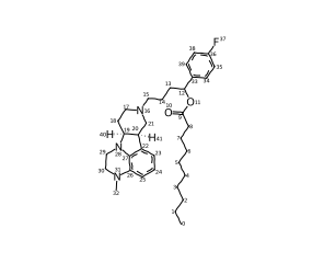 CCCCCCCCCC(=O)OC(CCCN1CC[C@H]2[C@@H](C1)c1cccc3c1N2CCN3C)c1ccc(F)cc1